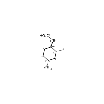 C[C@@H]1C[C@H](N)CC[C@H]1NC(=O)O